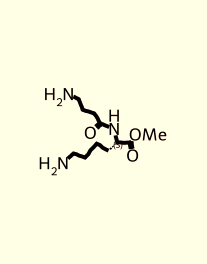 COC(=O)[C@H](CCCCN)NC(=O)CCCN